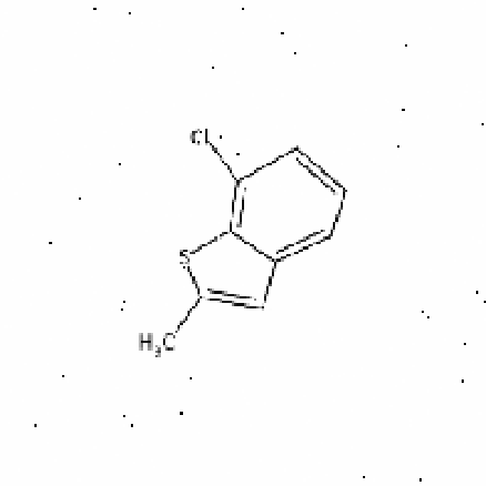 Cc1[c]c2cccc(Cl)c2s1